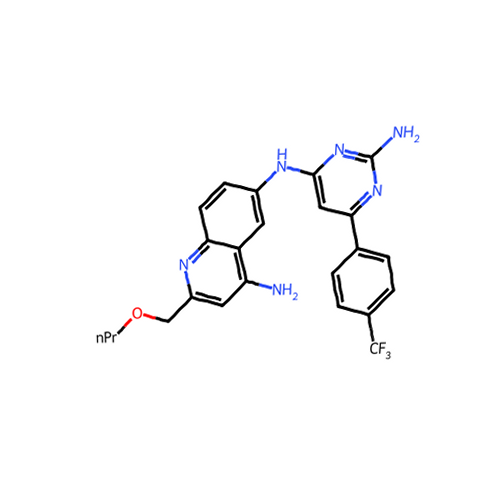 CCCOCc1cc(N)c2cc(Nc3cc(-c4ccc(C(F)(F)F)cc4)nc(N)n3)ccc2n1